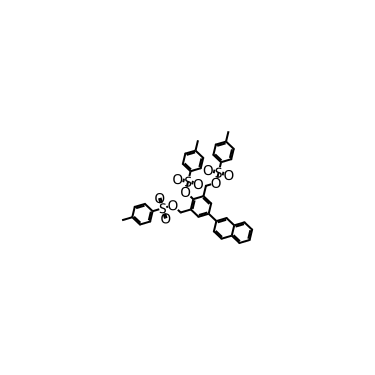 Cc1ccc(S(=O)(=O)OCc2cc(-c3ccc4ccccc4c3)cc(COS(=O)(=O)c3ccc(C)cc3)c2OS(=O)(=O)c2ccc(C)cc2)cc1